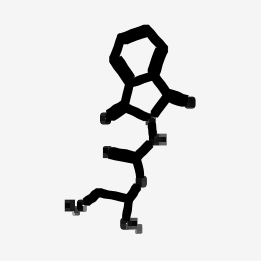 CCC(C)OC(=S)NN1C(=O)c2ccccc2C1=O